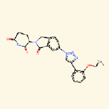 CCOc1ccccc1-c1cn(-c2ccc3c(c2)C(=O)N(C2CCC(=O)NC2=O)C3)nn1